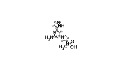 CN(C(=O)O)[C@@H]1CCN(c2cc(-c3ccn[nH]3)nc(N)n2)C1